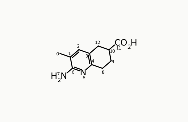 Cc1cc2c(nc1N)CCC(C(=O)O)C2